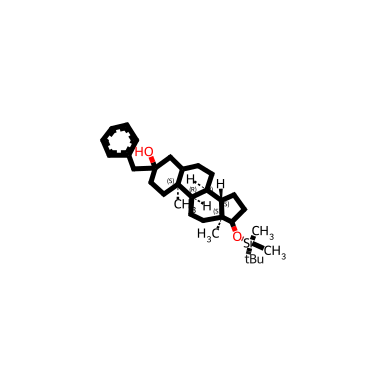 CC(C)(C)[Si](C)(C)OC1CC[C@H]2[C@@H]3CCC4CC(O)(Cc5ccccc5)CC[C@]4(C)[C@@H]3CC[C@]12C